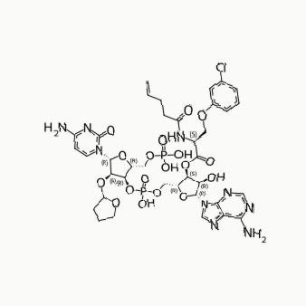 C=CCCC(=O)N[C@@H](COc1cccc(Cl)c1)C(=O)O[C@H]1[C@@H](O)[C@H](n2cnc3c(N)ncnc32)O[C@@H]1COP(=O)(O)O[C@H]1[C@@H](OC2CCCO2)[C@H](n2ccc(N)nc2=O)O[C@@H]1COP(=O)(O)O